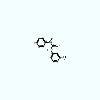 CN(C(=O)Nc1cccc(Cl)c1)c1ccccc1